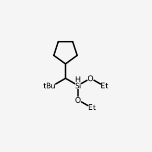 CCO[SiH](OCC)C(C1CCCC1)C(C)(C)C